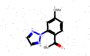 COc1ccc(C(=O)C(C)(C)C)c(-n2nccn2)c1